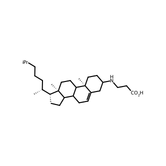 CC(C)CCC[C@@H](C)[C@H]1CCC2C3CC=C4CC(NCCC(=O)O)CC[C@]4(C)C3CC[C@@]21C